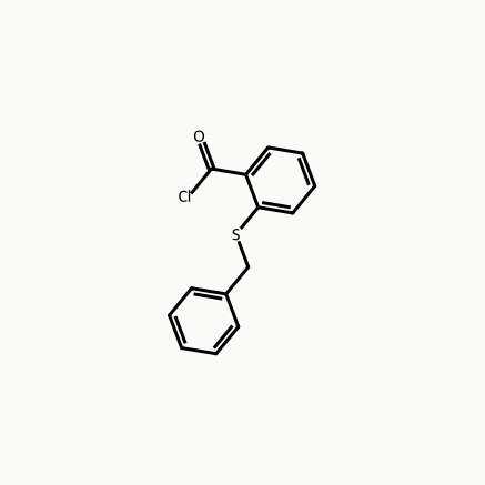 O=C(Cl)c1ccccc1SCc1ccccc1